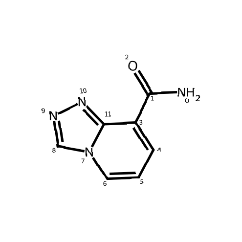 NC(=O)c1cccn2cnnc12